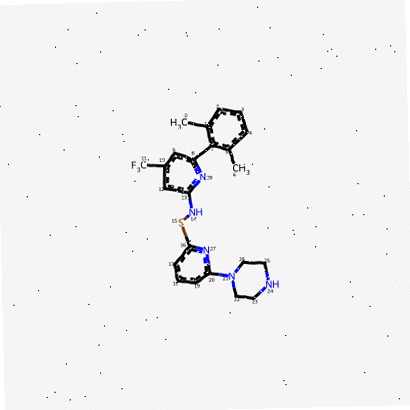 Cc1cccc(C)c1-c1cc(C(F)(F)F)cc(NSc2cccc(N3CCNCC3)n2)n1